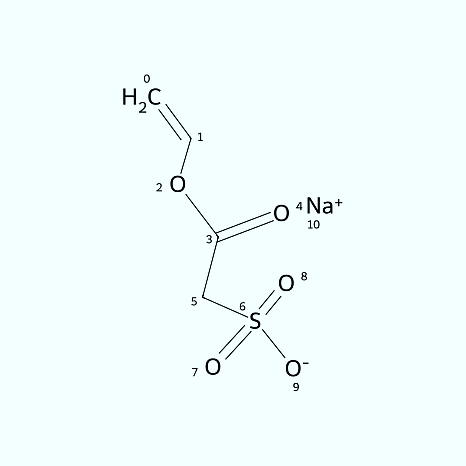 C=COC(=O)CS(=O)(=O)[O-].[Na+]